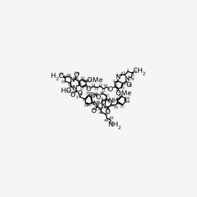 C=C1CC2C=Nc3cc(OCCCCCOc4cc5c(cc4OC)C(=O)N4CC(=C)CC4C(O)N5C(=O)OCc4ccc(NC(=O)C(CCCCN)NC(=O)C(Cc5ccccc5)NC(=O)CCOC(C)C)cc4)c(OC)cc3C(=O)N2C1